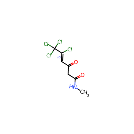 CNC(=O)CC(=O)/C=C(\Cl)C(Cl)(Cl)Cl